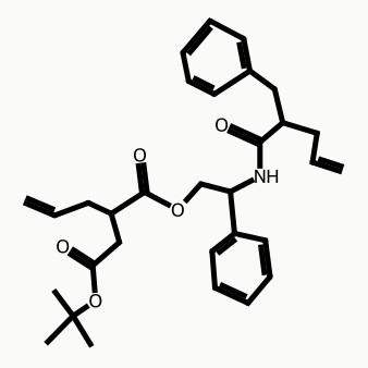 C=CCC(Cc1ccccc1)C(=O)NC(COC(=O)C(CC=C)CC(=O)OC(C)(C)C)c1ccccc1